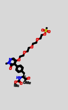 COC(=O)[C@H](Cc1ccc(-c2c(OCCOCCOCCOCCOS(C)(=O)=O)cnn(C)c2=O)cc1)NC(=O)OC(C)(C)C